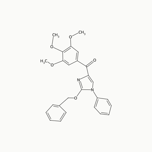 COc1cc(C(=O)c2cn(-c3ccccc3)c(OCc3ccccc3)n2)cc(OC)c1OC